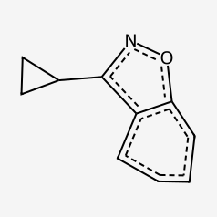 c1ccc2c(C3CC3)noc2c1